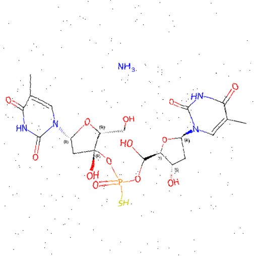 Cc1cn([C@H]2C[C@H](O)[C@@H](C(O)OP(=O)(S)O[C@]3(O)C[C@H](n4cc(C)c(=O)[nH]c4=O)O[C@@H]3CO)O2)c(=O)[nH]c1=O.N